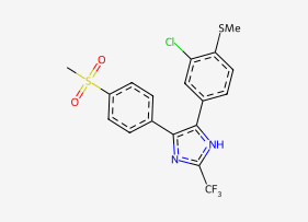 CSc1ccc(-c2[nH]c(C(F)(F)F)nc2-c2ccc(S(C)(=O)=O)cc2)cc1Cl